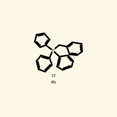 [Cl-].[Rh].c1ccc(C[P+](c2ccccc2)(c2ccccc2)c2ccccc2)cc1